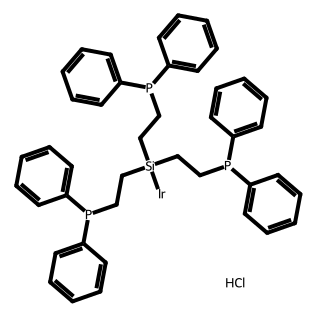 Cl.[Ir][Si](CCP(c1ccccc1)c1ccccc1)(CCP(c1ccccc1)c1ccccc1)CCP(c1ccccc1)c1ccccc1